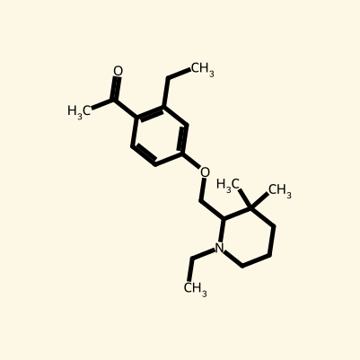 CCc1cc(OCC2N(CC)CCCC2(C)C)ccc1C(C)=O